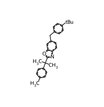 Cc1ccc(C(C)(C)c2nc3ccc(Cc4ccc(C(C)(C)C)cc4)cc3o2)cc1